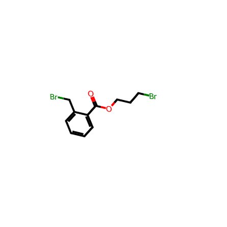 O=C(OCCCBr)c1ccccc1CBr